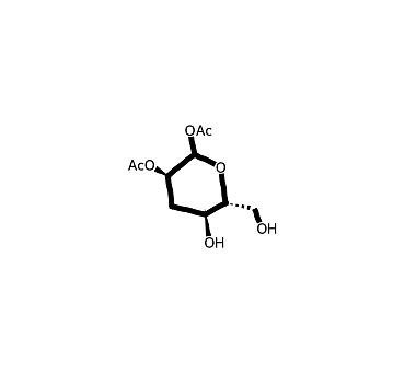 CC(=O)OC1O[C@H](CO)[C@@H](O)C[C@H]1OC(C)=O